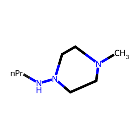 [CH2]CCNN1CCN(C)CC1